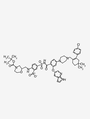 CC1(C)CCC(CN2CCN(c3ccc(C(=O)NS(=O)(=O)c4ccc(NCC5CN(C(=O)OC(C)(C)C)CCO5)c([N+](=O)[O-])c4)c(Oc4cnc5[nH]ccc5c4)c3)CC2)=C(c2ccc(Cl)cc2)C1